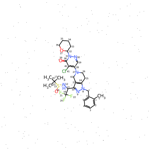 Cc1ccccc1Cn1nc(C(N[S+]([O-])C(C)(C)C)C(F)(F)F)c2c1CCN(c1cnn(C3CCCCO3)c(=O)c1Cl)C2